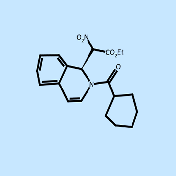 CCOC(=O)C([C@@H]1c2ccccc2C=CN1C(=O)C1CCCCC1)[N+](=O)[O-]